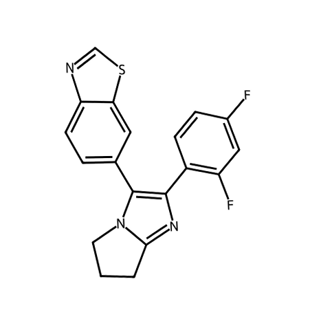 Fc1ccc(-c2nc3n(c2-c2ccc4ncsc4c2)CCC3)c(F)c1